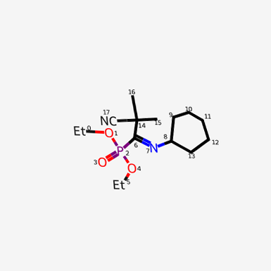 CCOP(=O)(OCC)/C(=N/C1CCCCC1)C(C)(C)C#N